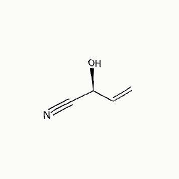 C=C[C@H](O)C#N